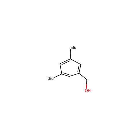 CCCCc1cc([CH]O)cc(C(C)(C)C)c1